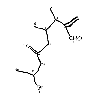 C=C(C=O)C(C)C(C)CC(=O)CC(C)C(C)C